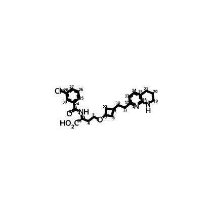 O=C(N[C@@H](CCOC1CC(CCc2ccc3c(n2)NCCC3)C1)C(=O)O)c1cccc(Cl)c1